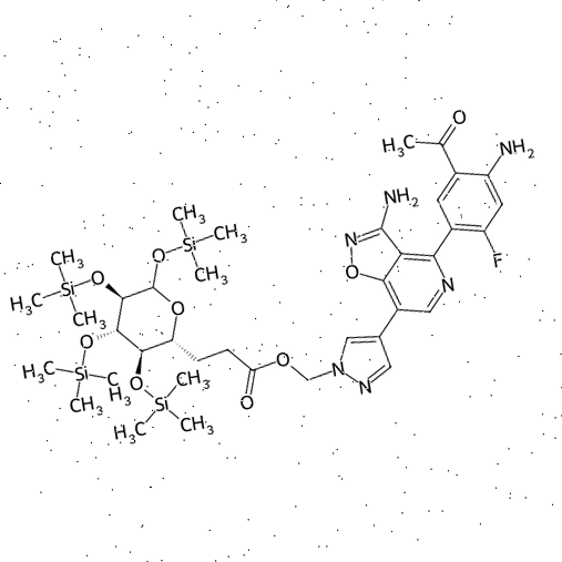 CC(=O)c1cc(-c2ncc(-c3cnn(COC(=O)CC[C@H]4OC(O[Si](C)(C)C)[C@H](O[Si](C)(C)C)[C@@H](O[Si](C)(C)C)[C@@H]4O[Si](C)(C)C)c3)c3onc(N)c23)c(F)cc1N